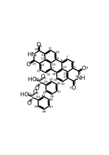 O=C1NC(=O)c2ccc3c4ccc5c6c(ccc(c7ccc1c2c73)c64)C(=O)NC5=O.O=S(=O)(O)c1ccccc1.O=S(=O)(O)c1ccccc1